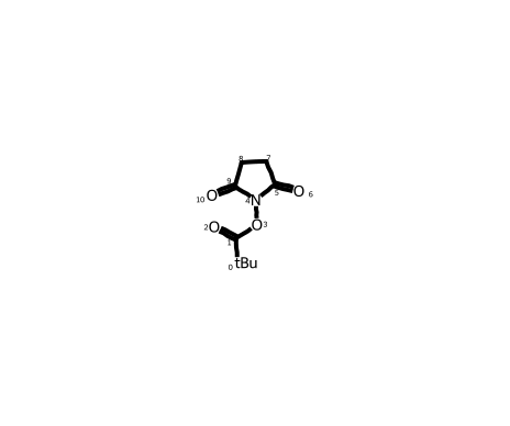 CC(C)(C)C(=O)ON1C(=O)CCC1=O